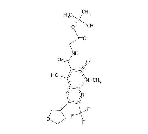 Cn1c(=O)c(C(=O)NCC(=O)OC(C)(C)C)c(O)c2cc(C3CCOC3)c(C(F)(F)F)nc21